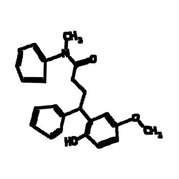 COc1ccc(O)c(C(CCC(=O)N(C)c2ccccc2)c2ccccc2)c1